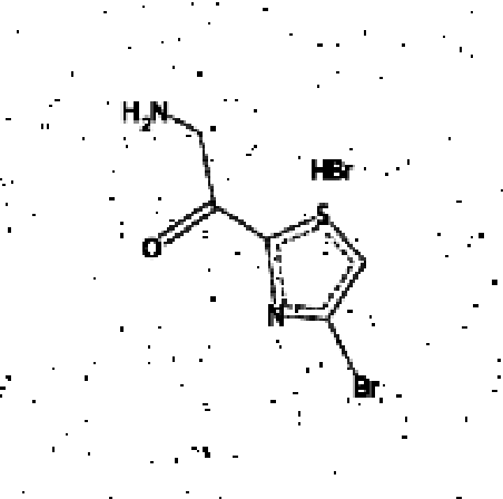 Br.NCC(=O)c1nc(Br)cs1